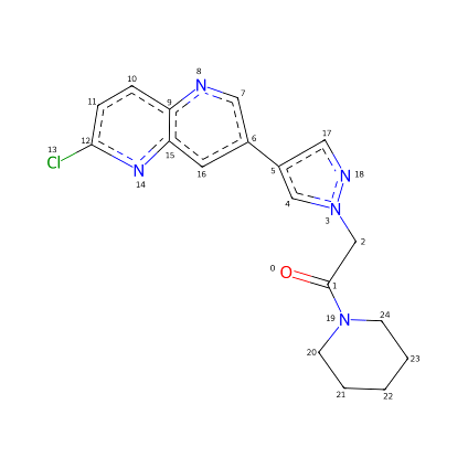 O=C(Cn1cc(-c2cnc3ccc(Cl)nc3c2)cn1)N1CCCCC1